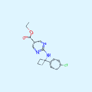 CCOC(=O)c1cnc(NC2(c3ccc(Cl)cc3)CCC2)nc1